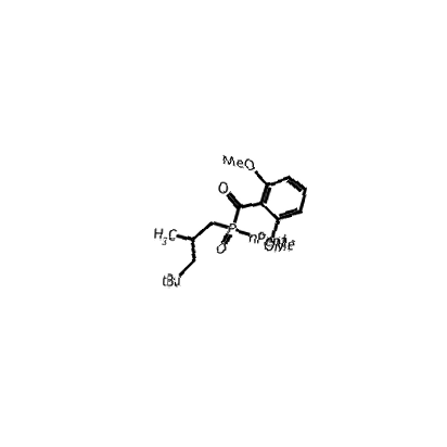 CCCCCP(=O)(CC(C)CC(C)(C)C)C(=O)c1c(OC)cccc1OC